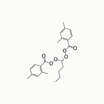 [CH2]CCC[C](OOC(=O)c1ccc(C)cc1C)OOC(=O)c1ccc(C)cc1C